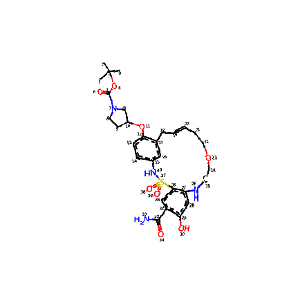 CC(C)(C)OC(=O)N1CCC(Oc2ccc3cc2C/C=C/CCOCCNc2cc(O)c(C(N)=O)cc2S(=O)(=O)N3)C1